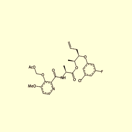 C=CC[C@@H](Oc1cc(F)cc(Cl)c1)[C@H](C)OC(=O)[C@H](C)NC(=O)c1nccc(OC)c1OCOC(C)=O